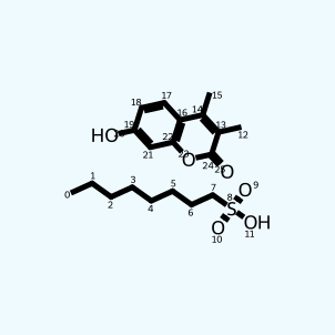 CCCCCCCCS(=O)(=O)O.Cc1c(C)c2ccc(O)cc2oc1=O